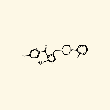 Nc1scc(CN2CCN(c3ccccc3F)CC2)c1C(=O)c1ccc(Cl)cc1